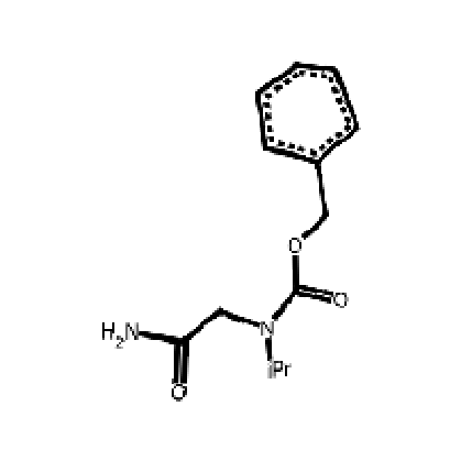 CC(C)N(CC(N)=O)C(=O)OCc1ccccc1